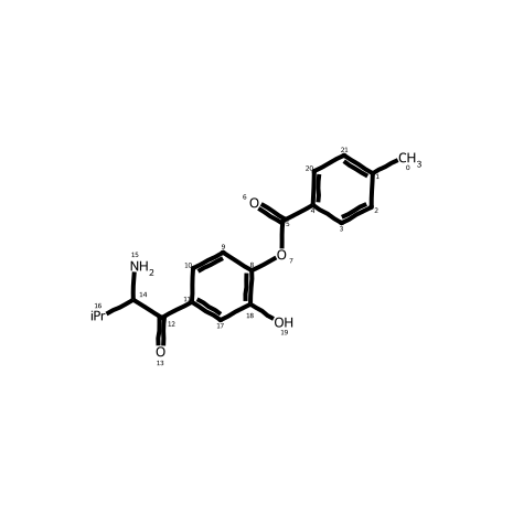 Cc1ccc(C(=O)Oc2ccc(C(=O)C(N)C(C)C)cc2O)cc1